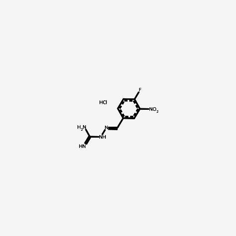 Cl.N=C(N)NN=Cc1ccc(F)c([N+](=O)[O-])c1